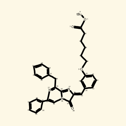 CC(C)(C)OC(=O)CCCCCOc1cccc(/C=C2\N=C3C(Cc4ccccc4)=NC(c4ccccc4)=CN3C2=O)c1